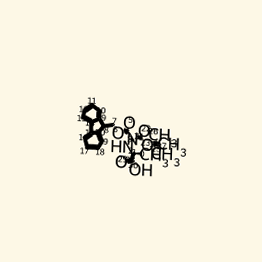 C[C@H](NN(C(=O)OCC1c2ccccc2-c2ccccc21)C(=O)OC(C)(C)C)C(=O)O